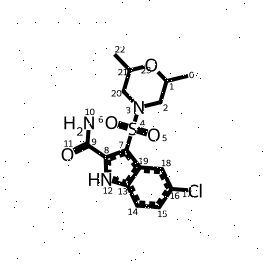 CC1CN(S(=O)(=O)c2c(C(N)=O)[nH]c3ccc(Cl)cc23)CC(C)O1